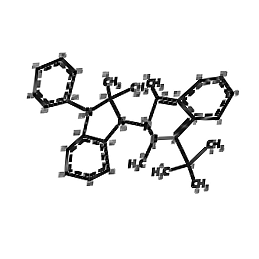 CB1C(C(C)(C)C)=c2ccccc2=C(C)N1N1c2ccccc2N(c2ccccc2)C1(C)C